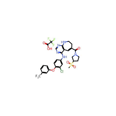 CS(=O)(=O)C1CCN(C(=O)C2=Cc3c(ncnc3Nc3ccc(Oc4cccc(C(F)(F)F)c4)c(Cl)c3)NCC2)C1.O=C(O)C(F)(F)F